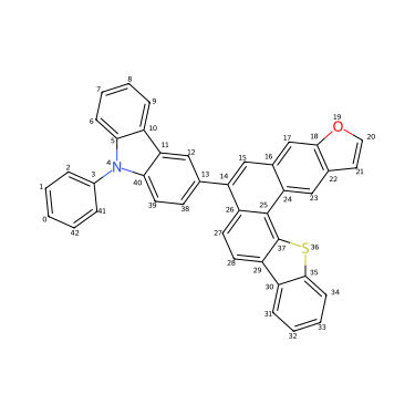 c1ccc(-n2c3ccccc3c3cc(-c4cc5cc6occc6cc5c5c4ccc4c6ccccc6sc45)ccc32)cc1